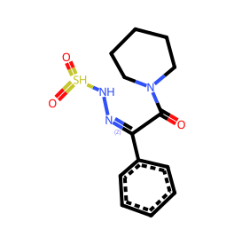 O=C(/C(=N\N[SH](=O)=O)c1ccccc1)N1CCCCC1